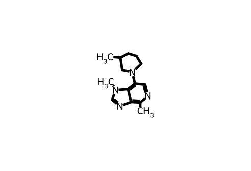 Cc1ncc(N2CCCC(C)C2)c2c1ncn2C